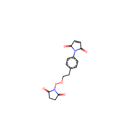 O=C1CCC(=O)N1OOCCc1ccc(N2C(=O)C=CC2=O)cc1